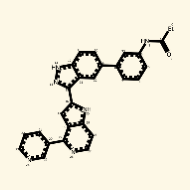 CCC(=O)Nc1cccc(-c2ccc3[nH]nc(-c4cc5c(-c6cccnc6)nccc5[nH]4)c3c2)c1